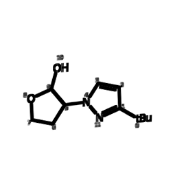 CC(C)(C)c1ccn(C2CCOC2O)n1